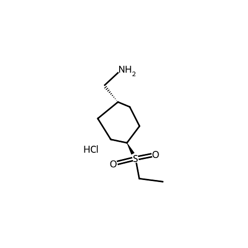 CCS(=O)(=O)[C@H]1CC[C@H](CN)CC1.Cl